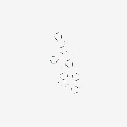 Cc1ccc2c(c1)CN(c1cc3c(cc1C)C(C)(C)CC3(C)C)c1cc(Cc3ccc(-c4cc(C(C)(C)C)ccc4C)cc3)cc3c1B2c1cc2c(cc1C3C)C(C)(C)c1ccccc1C2(C)C